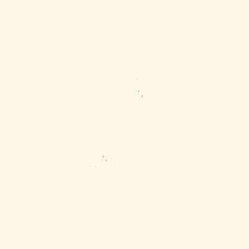 O=[N+]([O-])C=CCC=C[N+](=O)[O-]